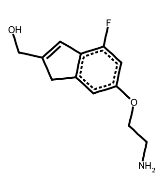 NCCOc1cc(F)c2c(c1)CC(CO)=C2